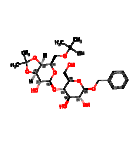 CC1(C)O[C@@H]2[C@@H](O)[C@H](O[C@H]3[C@H](O)[C@@H](O)[C@H](OCc4ccccc4)O[C@@H]3CO)O[C@H](CO[Si](C)(C)C(C)(C)C)[C@@H]2O1